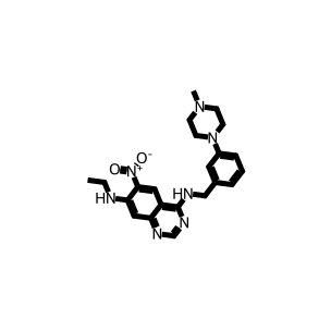 CCNc1cc2ncnc(NCc3cccc(N4CCN(C)CC4)c3)c2cc1[N+](=O)[O-]